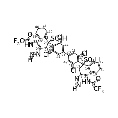 [H]/N=N/C1=C(NC(=O)C(F)(F)F)c2ccccc2C(c2c(Cl)cc(-c3cc(Cl)c(C4(S(=O)(=O)O)CC(/N=N/[H])=C(NC(=O)C(F)(F)F)c5ccccc54)c(Cl)c3)cc2Cl)(S(=O)(=O)O)C1